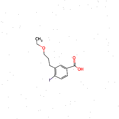 CCOCCCc1cc(C(=O)O)ccc1I